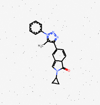 Cc1c(C2=CC3=CN(C4CC4)C(=O)C3C=C2)nnn1-c1ccccc1